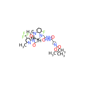 Cc1cc(C(F)(F)F)cc(N2C(=O)C[C@@H]3CN(CC(=O)NNC(=O)C4CN(C(=O)OC(C)(C)C)C4)c4c(F)cccc4N(C)C(=O)[C@H]32)n1